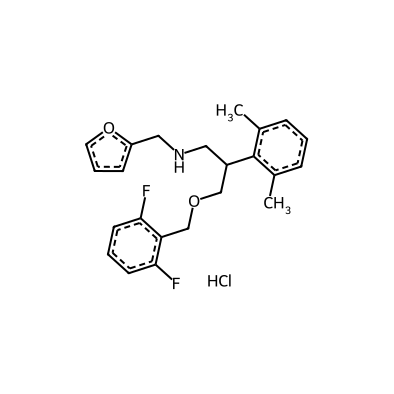 Cc1cccc(C)c1C(CNCc1ccco1)COCc1c(F)cccc1F.Cl